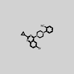 N#Cc1ccccc1N1CCN(c2nc(C3CC3)nc3ccc(Br)cc23)CC1